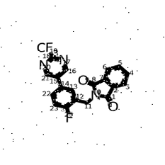 O=C1c2ccccc2C(=O)N1Cc1cc(-c2cnc(C(F)(F)F)nc2)ccc1F